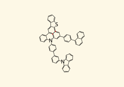 c1cc(-c2ccc(-c3cccc4ccccc34)cc2)cc(N(c2ccc(-c3cccc(-n4c5ccccc5c5ccccc54)c3)cc2)c2ccccc2-c2ccc3sc4ccccc4c3c2)c1